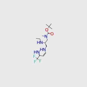 CCN[C@H](CN/C=C\C(=N)C(F)(F)F)CN(C)C(=O)OC(C)(C)C